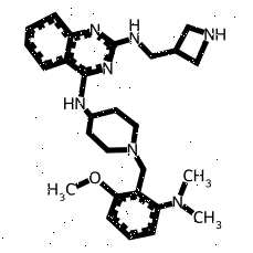 COc1cccc(N(C)C)c1CN1CCC(Nc2nc(NCC3CNC3)nc3ccccc23)CC1